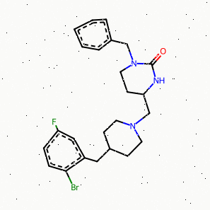 O=C1NC(CN2CCC(Cc3cc(F)ccc3Br)CC2)CCN1Cc1ccccc1